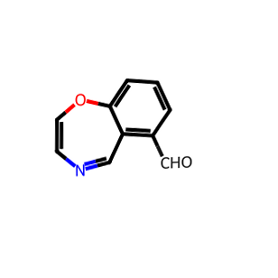 O=Cc1cccc2c1C=NC=CO2